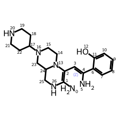 NC1=C(/C=C(\N)c2ccccc2O)N2CCN(C3CCNCC3)CC2CN1